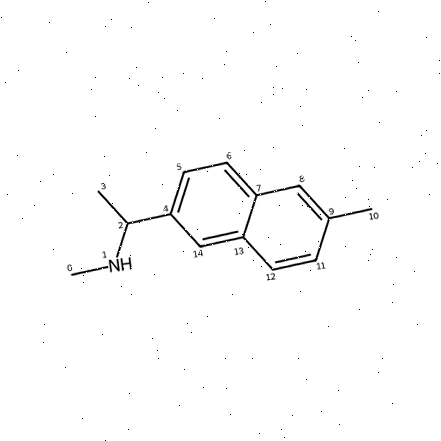 CNC(C)c1ccc2cc(C)ccc2c1